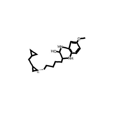 COc1ccc2c(c1)NC(O)C(CCCCC[C@@H]1CC1CC1CC1)N2